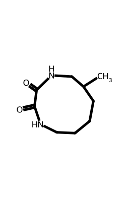 CC1CCCCNC(=O)C(=O)NC1